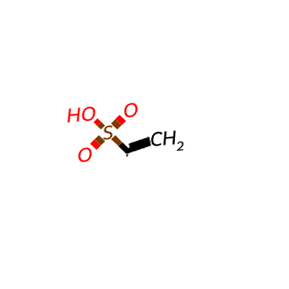 C=[C]S(=O)(=O)O